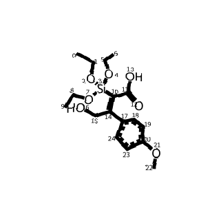 CCO[Si](OCC)(OCC)C(C(=O)O)=C(CO)c1ccc(OC)cc1